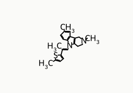 C/C(=C\n1c2c(c3cc(C)ccc31)CN(C)CC2)c1ccc(C)s1